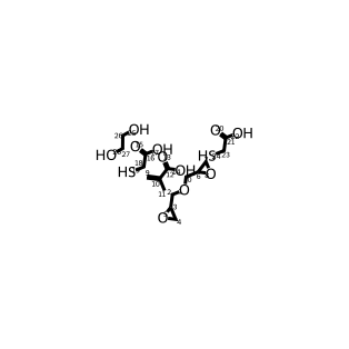 C(OCC1CO1)C1CO1.C=C(C)C(=O)O.O=C(O)CS.O=C(O)CS.OCCO